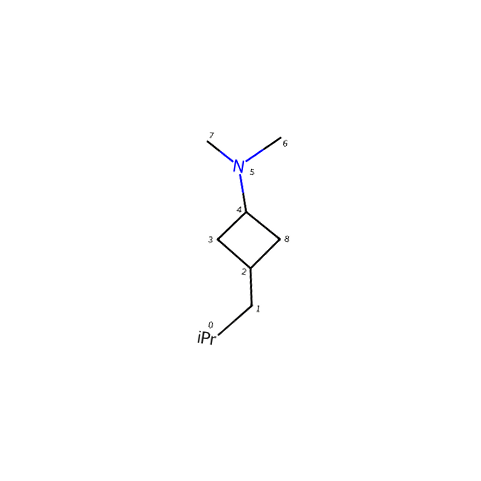 CC(C)CC1CC(N(C)C)C1